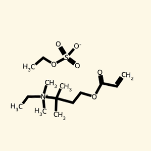 C=CC(=O)OCCC(C)(C)[N+](C)(C)CC.CCOS(=O)(=O)[O-]